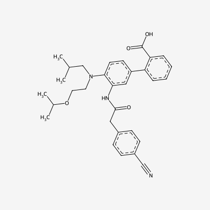 CC(C)CN(CCOC(C)C)c1ccc(-c2ccccc2C(=O)O)cc1NC(=O)Cc1ccc(C#N)cc1